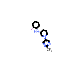 FC(F)(F)c1ncc(N2CCC[C@H](N[C@@H]3CCCC[C@H]3I)C2)cn1